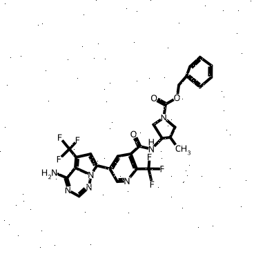 CC1CN(C(=O)OCc2ccccc2)CC1NC(=O)c1cc(-c2cc(C(F)(F)F)c3c(N)ncnn23)cnc1C(F)(F)F